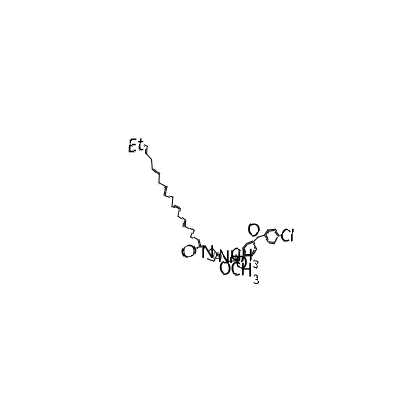 CCC=CCC=CCC=CCC=CCC=CCCCC(=O)N1CC[C@H](NC(=O)C(C)(C)Oc2ccc(C(=O)c3ccc(Cl)cc3)cc2)C1